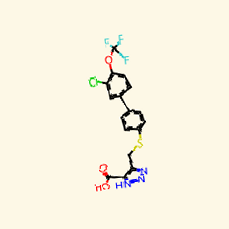 O=C(O)c1[nH]nnc1CSc1ccc(-c2ccc(OC(F)(F)F)c(Cl)c2)cc1